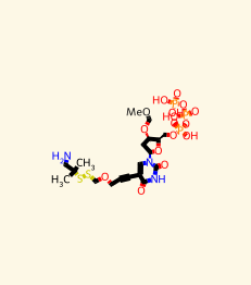 COCO[C@@H]1C[C@H](n2cc(C#CCOCSSC(C)(C)CN)c(=O)[nH]c2=O)O[C@@H]1COP(=O)(O)OP(=O)(O)OP(=O)(O)O